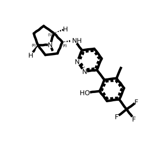 Cc1cc(C(F)(F)F)cc(O)c1-c1ccc(N[C@@H]2CC[C@@H]3CC[C@@H]2N3C)nn1